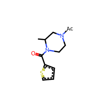 CC(=O)N1CCN(C(=O)c2cccs2)C(C)C1